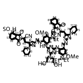 [C-]#[N+]/C(=C\c1sc(/N=N/c2cc(OC)c(N(CC)CC)cc2Nc2nc(Nc3cc(N(CC)CC)c(OC)cc3/N=N/c3nc(N4CCCCC4)c(/C=C(\C#N)N4C(=O)c5cccc(S(=O)(=O)O)c5C4=O)s3)nc(N(CCO)CCO)n2)nc1N1CCCCC1)N1C(=O)c2ccccc2C1=O